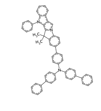 CC1(C)c2cc(-c3ccc(N(c4ccc(-c5ccccc5)cc4)c4ccc(-c5ccccc5)cc4)cc3)ccc2-n2cc3c4ccccc4n(-c4ccccc4)c3c21